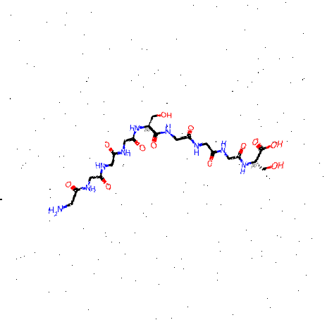 NCC(=O)NCC(=O)NCC(=O)NCC(=O)N[C@@H](CO)C(=O)NCC(=O)NCC(=O)NCC(=O)N[C@@H](CO)C(=O)O